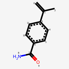 C=C(C)c1ccc(C(N)=O)cc1